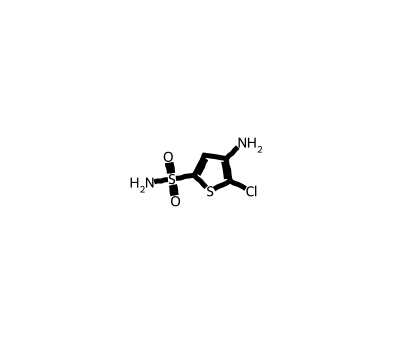 Nc1cc(S(N)(=O)=O)sc1Cl